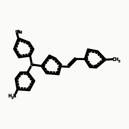 Bc1ccc(N(c2ccc(/C=C/c3ccc(C)cc3)cc2)c2ccc(C(C)(C)C)cc2)cc1